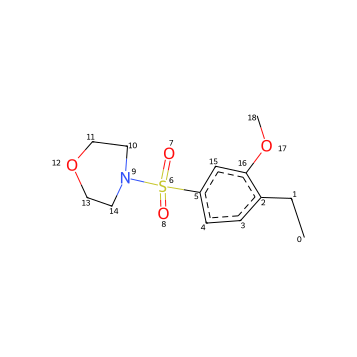 CCc1ccc(S(=O)(=O)N2CCOCC2)cc1OC